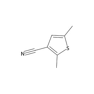 Cc1cc(C#N)c(C)s1